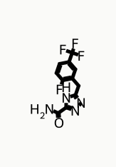 NC(=O)c1nnc(Cc2cc(C(F)(F)F)ccc2F)[nH]1